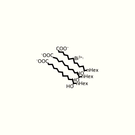 CCCCCCC(O)CCCCCCCCCCC(=O)[O-].CCCCCCC(O)CCCCCCCCCCC(=O)[O-].CCCCCCC(O)CCCCCCCCCCC(=O)[O-].[Bi+3]